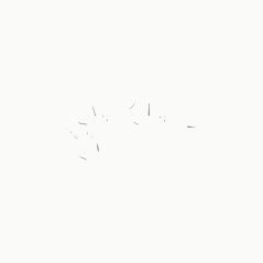 CCc1nc2ccc(Cl)cn2c1C(=O)NCc1ccc(N2CCC(=O)CC2)cc1